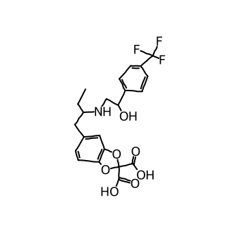 CCC(Cc1ccc2c(c1)OC(C(=O)O)(C(=O)O)O2)NCC(O)c1ccc(C(F)(F)F)cc1